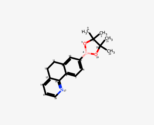 CC1(C)OB(c2ccc3c(c2)CCc2cccnc2-3)OC1(C)C